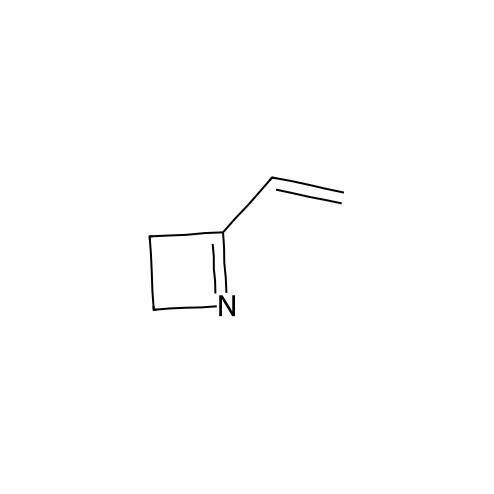 C=CC1=NCC1